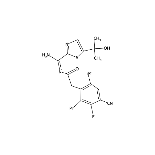 CC(C)c1cc(C#N)c(F)c(C(C)C)c1CC(=O)/N=C(/N)c1ncc(C(C)(C)O)s1